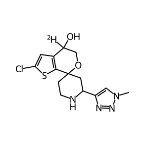 [2H]C1(O)COC2(CCNC(c3cn(C)nn3)C2)c2sc(Cl)cc21